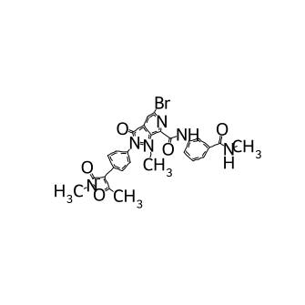 CCn1c2c(C(=O)Nc3cccc(C(=O)NC)c3)nc(Br)cc2c(=O)n1-c1ccc(-c2c(C)on(C)c2=O)cc1